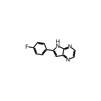 Fc1ccc(-c2[c]c3nccnc3[nH]2)cc1